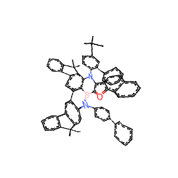 CC(C)(C)c1ccc(N2c3c4c(cc5c3C(C)(C)c3ccccc3-5)-c3cc5c(cc3N(c3ccc(-c6ccccc6)cc3)B4c3oc4c(ccc6ccccc64)c32)C(C)(C)c2ccccc2-5)c(-c2ccccc2)c1